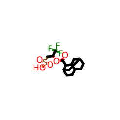 O=C(OC(CS(=O)(=O)O)C(F)(F)F)C1C2CCC3CCC(C2)CC31